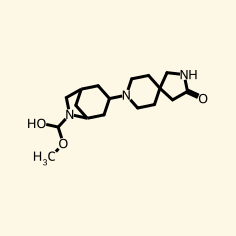 COC(O)N1CC2CC(N3CCC4(CC3)CNC(=O)C4)CC1C2